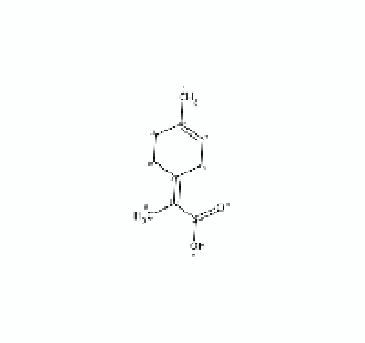 CC1=CCC(=C(C)C(=O)O)CC1